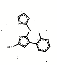 O=Cc1cc(-c2cccnc2F)c(Sc2nccs2)s1